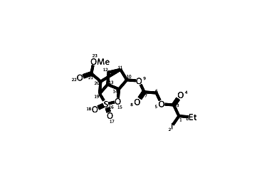 CCC(I)C(=O)OCC(=O)OC1C2CC3C1OS(=O)(=O)C3C2C(=O)OC